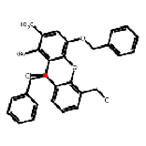 CC(C)(C)c1c(C(=O)O)cc(OCc2ccccc2)c(Oc2c(CCl)cccc2CCl)c1OCc1ccccc1